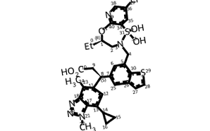 CC[C@@H]1CN(Cc2cc([C@H](CC(=O)O)c3cc(C4CC4)c4c(nnn4C)c3C)cc3ccsc23)S(O)(O)c2cc(Cl)cnc2O1